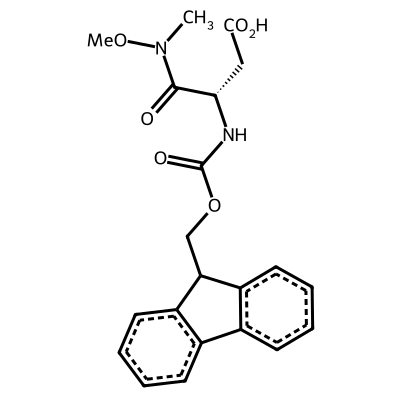 CON(C)C(=O)[C@H](CC(=O)O)NC(=O)OCC1c2ccccc2-c2ccccc21